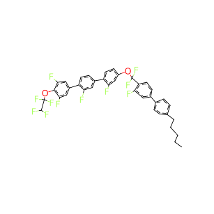 CCCCCc1ccc(-c2ccc(C(F)(F)Oc3ccc(-c4ccc(-c5cc(F)c(OC(F)(F)C(F)F)c(F)c5)c(F)c4)c(F)c3)c(F)c2)cc1